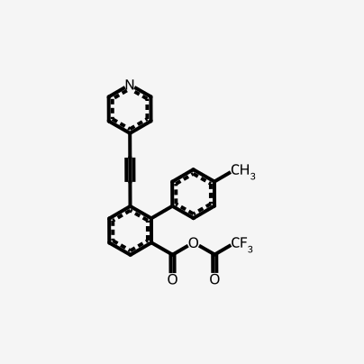 Cc1ccc(-c2c(C#Cc3ccncc3)cccc2C(=O)OC(=O)C(F)(F)F)cc1